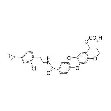 O=C(O)OC1CCOc2cc(Oc3ccc(C(=O)NCCc4ccc(C5CC5)cc4Cl)cc3)c(Cl)cc21